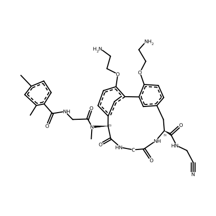 Cc1ccc(C(=O)NCC(=O)N(C)[C@@H]2C(=O)NCC(=O)N[C@H](C(=O)NCC#N)Cc3ccc(OCCN)c(c3)-c3cc2ccc3OCCN)c(C)c1